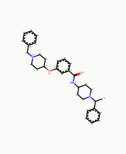 O=C(NC1CCN(C(I)c2ccccc2)CC1)c1cccc(OC2CCN(Cc3ccccc3)CC2)c1